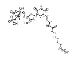 [N-]=[N+]=NCCCOCCC(=O)NC/C=C/c1cn(C2CC(O)C(COP(=O)(O)OP(=O)(O)OP(=O)(O)O)O2)c(=O)[nH]c1=O